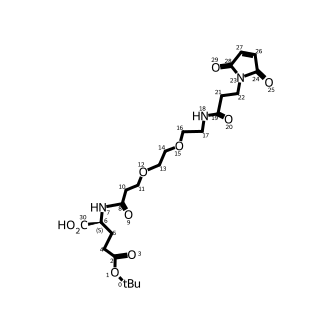 CC(C)(C)OC(=O)CC[C@H](NC(=O)CCOCCOCCNC(=O)CCN1C(=O)C=CC1=O)C(=O)O